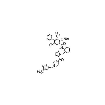 COc1c(C(=O)N2Cc3ccc(C(=O)N4CCN(CCCN(C)C)CC4)n3Cc3ccccc32)cc(Cl)c(-c2ccccc2)c1C